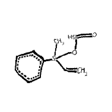 C=C[Si](C)(O[SiH]=O)c1ccccc1